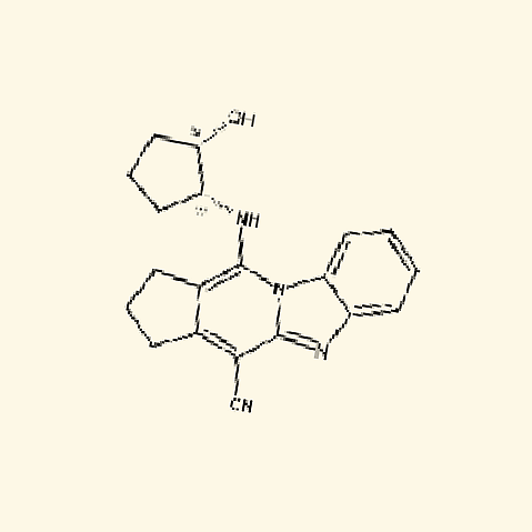 N#Cc1c2c(c(N[C@@H]3CCC[C@@H]3O)n3c1nc1ccccc13)CCC2